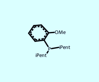 CCCC(C)P(c1ccccc1OC)C(C)CCC